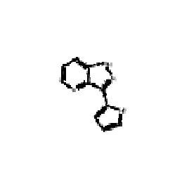 c1c[nH]c(-c2n[nH]c3cccnc23)c1